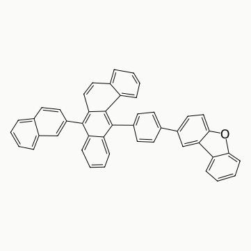 c1ccc2cc(-c3c4ccccc4c(-c4ccc(-c5ccc6oc7ccccc7c6c5)cc4)c4c3ccc3ccccc34)ccc2c1